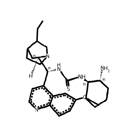 CCC1CN2CCC1C[C@@H]2[C@H](NC(=S)N[C@@H]1CCCC[C@H]1N)c1ccnc2ccc(OC)cc12